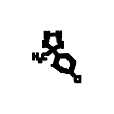 CC1(c2[c]cc(Cl)cc2)N=NN=N1